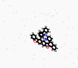 c1ccc(N(c2ccccc2-n2c3ccccc3c3ccccc32)c2cccc3oc4c5ccccc5ccc4c23)c(-c2cccc3oc4ccccc4c23)c1